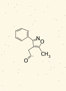 Cc1onc(-c2ccccc2)c1C[C]=O